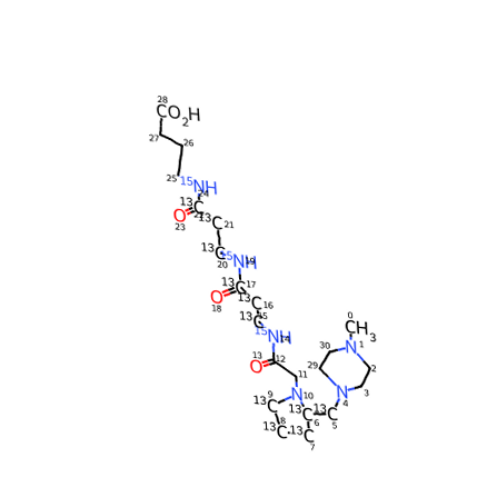 CN1CCN([13CH2][13CH]2[13CH2][13CH2][13CH2]N2CC(=O)[15NH][13CH2][13CH2][13C](=O)[15NH][13CH2][13CH2][13C](=O)[15NH]CCCC(=O)O)CC1